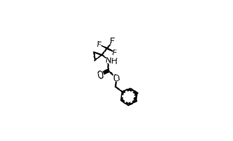 O=C(NC1(C(F)(F)F)CC1)OCc1ccccc1